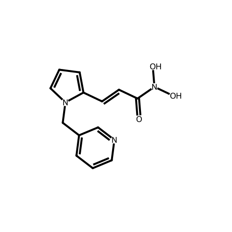 O=C(/C=C/c1cccn1Cc1cccnc1)N(O)O